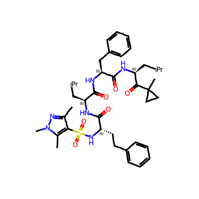 Cc1nn(C)c(C)c1S(=O)(=O)N[C@@H](CCc1ccccc1)C(=O)N[C@@H](CC(C)C)C(=O)N[C@@H](Cc1ccccc1)C(=O)N[C@@H](CC(C)C)C(=O)C1(C)CC1